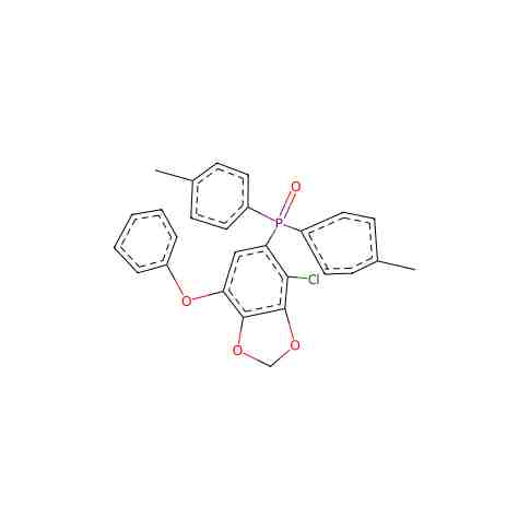 Cc1ccc(P(=O)(c2ccc(C)cc2)c2cc(Oc3ccccc3)c3c(c2Cl)OCO3)cc1